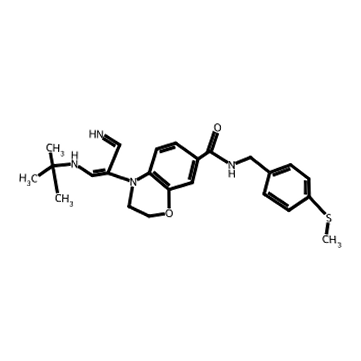 CSc1ccc(CNC(=O)c2ccc3c(c2)OCCN3/C(C=N)=C/NC(C)(C)C)cc1